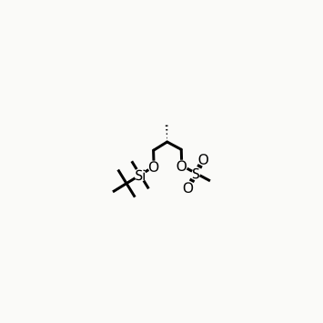 C[C@@H](CO[Si](C)(C)C(C)(C)C)COS(C)(=O)=O